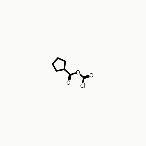 O=C(Cl)OC(=O)C1CCCC1